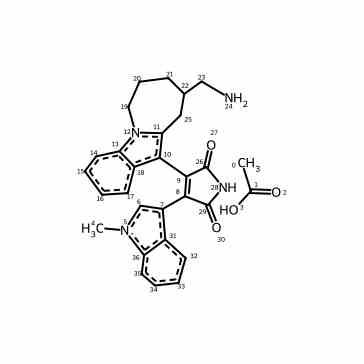 CC(=O)O.Cn1cc(C2=C(c3c4n(c5ccccc35)CCCC(CN)C4)C(=O)NC2=O)c2ccccc21